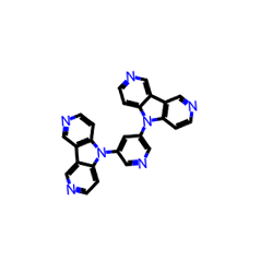 c1cc2c(cn1)c1cnccc1n2-c1cncc(-n2c3ccncc3c3cnccc32)c1